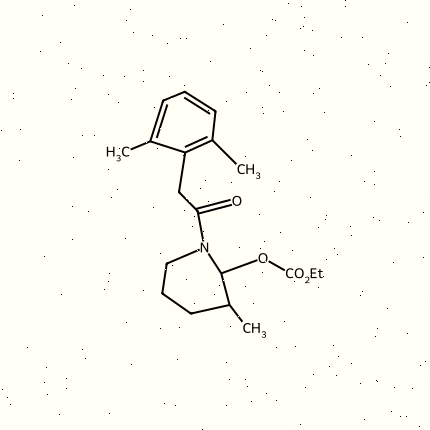 CCOC(=O)OC1C(C)CCCN1C(=O)Cc1c(C)cccc1C